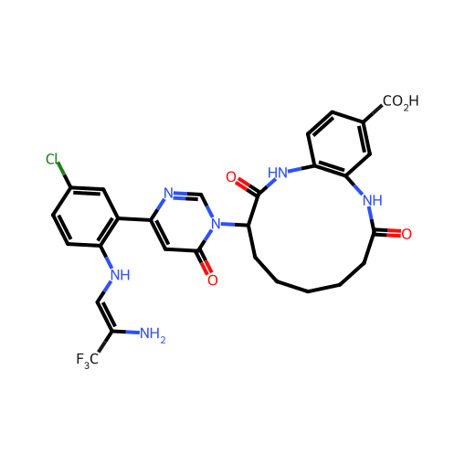 N/C(=C\Nc1ccc(Cl)cc1-c1cc(=O)n(C2CCCCCC(=O)Nc3cc(C(=O)O)ccc3NC2=O)cn1)C(F)(F)F